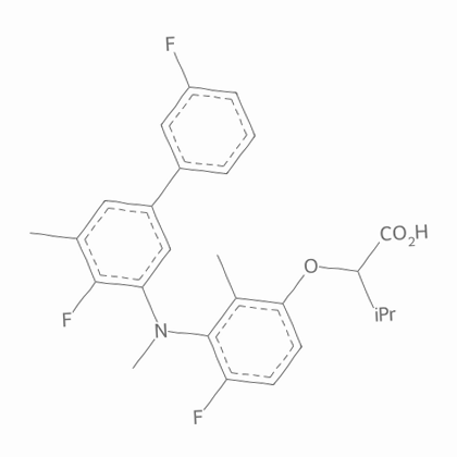 Cc1cc(-c2cccc(F)c2)cc(N(C)c2c(F)ccc(OC(C(=O)O)C(C)C)c2C)c1F